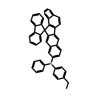 CCc1ccc(N(c2ccccc2)c2ccc3cc4c(cc3c2)C2(c3ccccc3-c3ccccc32)c2c-4ccc3ccccc23)cc1